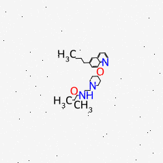 CCCCc1cc(OC2CCN(CCNC(=O)C(C)C)CC2)c2ncccc2c1